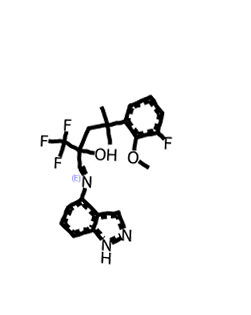 COc1c(F)cccc1C(C)(C)CC(O)(/C=N/c1cccc2[nH]ncc12)C(F)(F)F